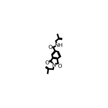 C=C(C)CNC(=O)c1ccc2c(c1)C(=O)N(CC(=C)C)C2=O